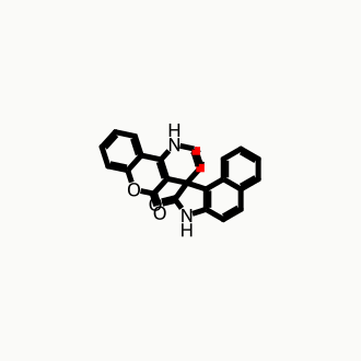 O=C1Nc2ccc3ccccc3c2C12c1ccccc1Nc1c2c(=O)oc2ccccc12